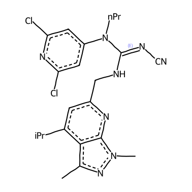 CCCN(/C(=N/C#N)NCc1cc(C(C)C)c2c(C)nn(C)c2n1)c1cc(Cl)nc(Cl)c1